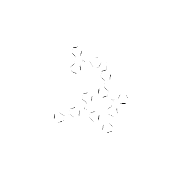 C1=C(n2c3ccccc3c3ccccc32)CCc2oc3ccc(-c4cc(-c5cccc(N(c6ccc(-c7ccccc7)cc6)c6ccc(-c7ccccc7)cc6)c5)cc(-n5c6ccccc6c6ccccc65)c4)cc3c21